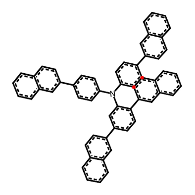 c1ccc2cc(-c3ccc(N(c4ccc(-c5ccc6ccccc6c5)cc4)c4cc(-c5ccc6ccccc6c5)ccc4-c4ccc5ccccc5c4)cc3)ccc2c1